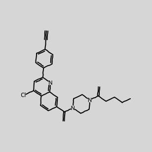 C#Cc1ccc(-c2cc(Cl)c3ccc(C(=C)N4CCN(C(=C)CCCC)CC4)cc3n2)cc1